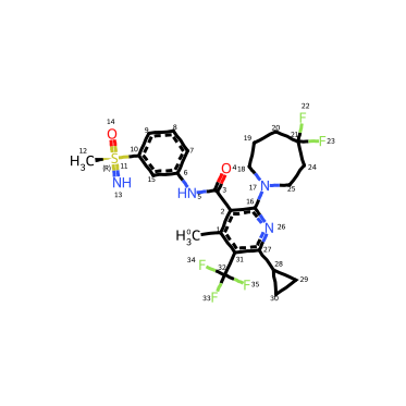 Cc1c(C(=O)Nc2cccc([S@](C)(=N)=O)c2)c(N2CCCC(F)(F)CC2)nc(C2CC2)c1C(F)(F)F